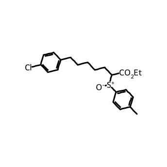 CCOC(=O)C(CCCCCc1ccc(Cl)cc1)[S+]([O-])c1ccc(C)cc1